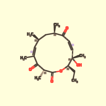 CC[C@H]1OC(=O)[C@H](C)C(=O)/C(C)=C\[C@@H](C)C[C@@H](C)C(=O)/C=C\[C@]1(C)O